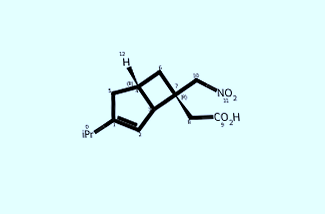 CC(C)C1=CC2[C@H](C1)C[C@]2(CC(=O)O)C[N+](=O)[O-]